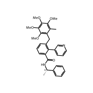 COc1c(C)c(Cc2cccc(C(=O)N[C@@H](C)c3ccccc3)c2-c2cccnc2)c(OC)c(OC)c1OC